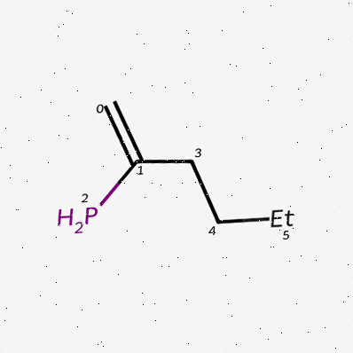 C=C(P)CCCC